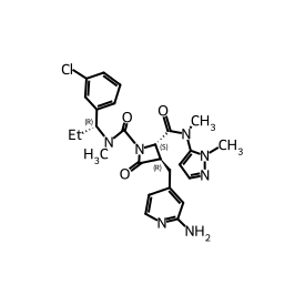 CC[C@H](c1cccc(Cl)c1)N(C)C(=O)N1C(=O)[C@H](Cc2ccnc(N)c2)[C@H]1C(=O)N(C)c1ccnn1C